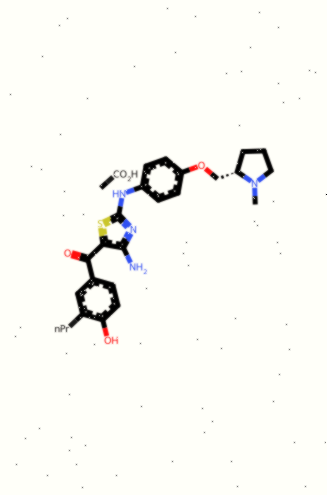 CC(=O)O.CCCc1cc(C(=O)c2sc(Nc3ccc(OC[C@@H]4CCCN4C)cc3)nc2N)ccc1O